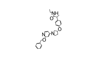 CCNC(=O)C(C)c1ccc(O[C@@H]2CCN(c3ccnc(OCc4ccccc4)c3)C2)cc1